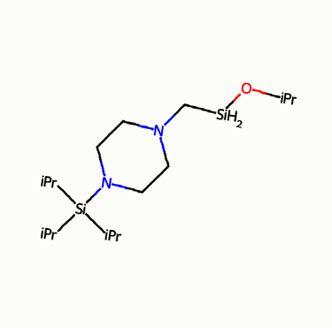 CC(C)O[SiH2]CN1CCN([Si](C(C)C)(C(C)C)C(C)C)CC1